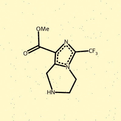 COC(=O)c1nc(C(F)(F)F)n2c1CNCC2